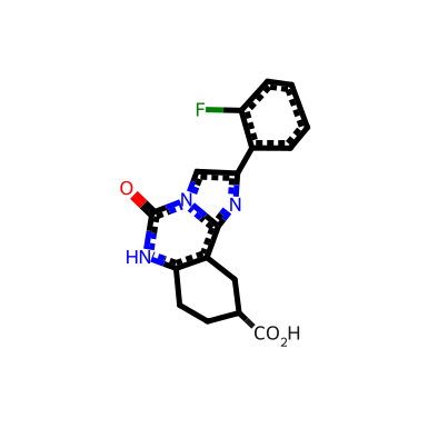 O=C(O)C1CCc2[nH]c(=O)n3cc(-c4ccccc4F)nc3c2C1